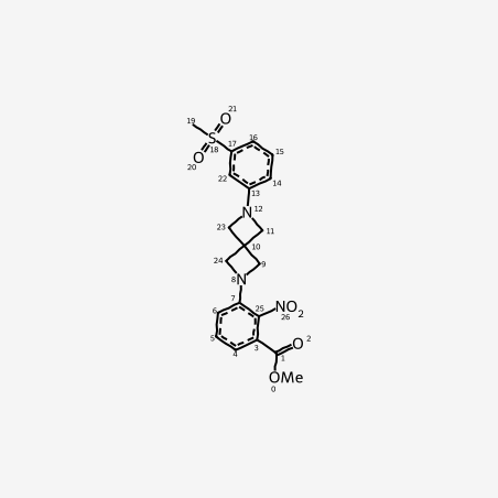 COC(=O)c1cccc(N2CC3(CN(c4cccc(S(C)(=O)=O)c4)C3)C2)c1[N+](=O)[O-]